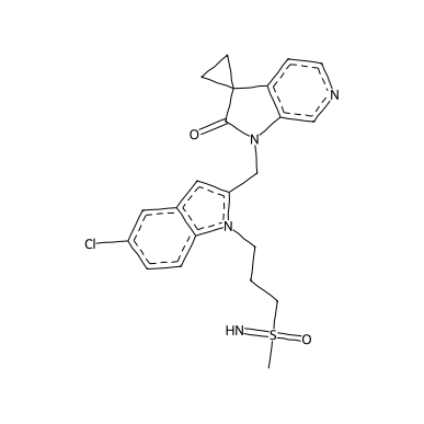 CS(=N)(=O)CCCn1c(CN2C(=O)C3(CC3)c3ccncc32)cc2cc(Cl)ccc21